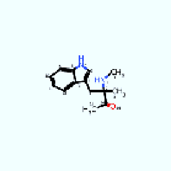 CNC(C)(Cc1c[nH]c2ccccc12)C(C)=O